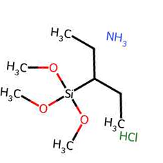 CCC(CC)[Si](OC)(OC)OC.Cl.N